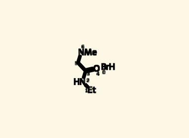 Br.CCNC(=O)CNC